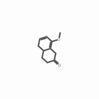 COC1=C2CC(=O)CCC2CC=C1